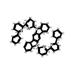 C1=CC2c3cc4c(cc3N(c3cccc(-c5cccc(-c6ccccc6)n5)n3)C2C=C1)c1ccccc1n4-c1cccc(-c2cccc(-c3ccccc3)n2)n1